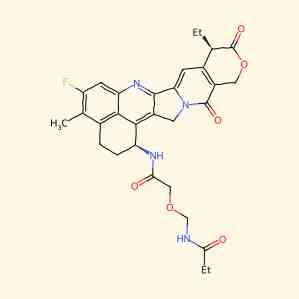 CCC(=O)NCOCC(=O)N[C@H]1CCc2c(C)c(F)cc3nc4c(c1c23)Cn1c-4cc2c(c1=O)COC(=O)[C@@H]2CC